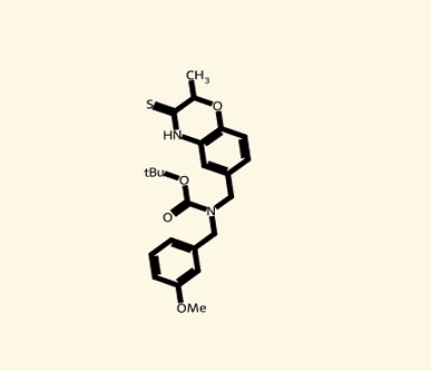 COc1cccc(CN(Cc2ccc3c(c2)NC(=S)C(C)O3)C(=O)OC(C)(C)C)c1